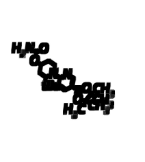 CC(C)(C)C1CC(OC(N)=O)CCN1c1ccc(B2OC(C)(C)C(C)(C)O2)cn1